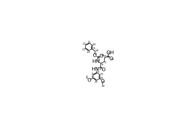 COc1cc(NC(=O)C(CCC(=O)O)NC(=O)OCc2ccccc2)cc(OC)c1